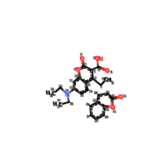 CCc1c(C(=O)O)c(=O)oc2cc(N(CC)CC)ccc12.O=c1ccc2ccccc2o1